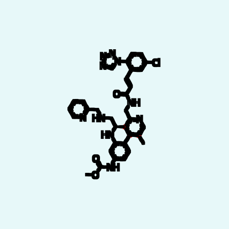 CCCC[C@H](CNCc1ccccn1)Nc1cc(NC(=O)OC)ccc1-c1ccnc(CNC(=O)/C=C/c2cc(Cl)ccc2-n2cnnn2)c1